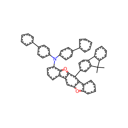 CC1(C)c2ccccc2-c2ccc(-c3c4oc5c(N(c6ccc(-c7ccccc7)cc6)c6ccc(-c7ccccc7)cc6)cccc5c4cc4oc5ccccc5c34)cc21